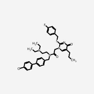 CCCc1cn(CC(=O)N(CCN(CC)CC)Cc2ccc(-c3ccc(Cl)cc3)cc2)c(SCc2ccc(F)cc2)nc1=O